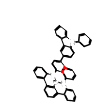 c1ccc(N2B3c4c(cccc4-c4ccccc4N3c3ccc(-c4ccc5c(c4)c4ccccc4n5-c4ccccc4)cc3)-c3ccccc32)cc1